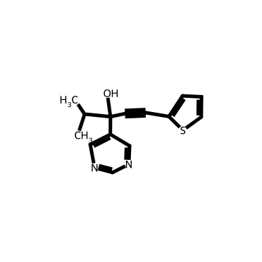 CC(C)C(O)(C#Cc1cccs1)c1cncnc1